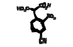 N#Cc1ccc(C(C(=O)O)C(=O)O)c([N+](=O)[O-])c1